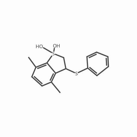 Cc1ccc(C)c2c1C(Sc1ccccc1)CS2(O)O